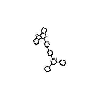 c1ccc(-c2cc(-c3ccccc3)nc(-c3ccc(-c4ccc(-c5nc6ccccc6c6oc7ccccc7c56)cc4)cc3)n2)cc1